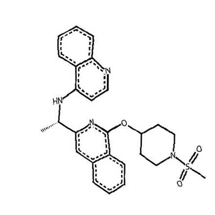 C[C@H](Nc1ccnc2ccccc12)c1cc2ccccc2c(OC2CCN(S(C)(=O)=O)CC2)n1